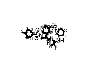 Cc1ccc(S(=O)(=O)n2cc(-c3ncc(F)c(N[C@H]4CCCN(C(=O)O)C4)n3)c3cc(Cl)cnc32)cc1